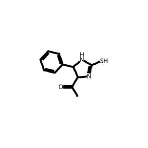 CC(=O)C1N=C(S)NC1c1ccccc1